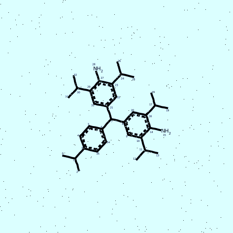 CC(C)c1ccc(C(c2cc(C(C)C)c(N)c(C(C)C)c2)c2cc(C(C)C)c(N)c(C(C)C)c2)cc1